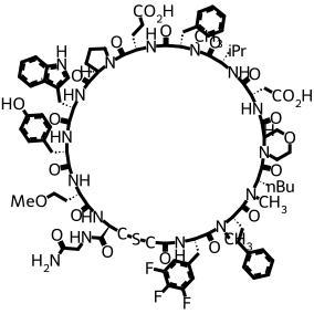 CCCC[C@H]1C(=O)N2CCOC[C@@H]2C(=O)N[C@@H](CC(=O)O)C(=O)N[C@@H](C(C)C)C(=O)N(C)[C@@H](Cc2ccccc2)C(=O)N[C@@H](CCC(=O)O)C(=O)N2CCC[C@@H]2C(=O)N[C@@H](Cc2c[nH]c3ccccc23)C(=O)N[C@@H](Cc2ccc(O)cc2)C(=O)N[C@@H](CCOC)C(=O)N[C@H](C(=O)NCC(N)=O)CSCC(=O)N[C@@H](Cc2cc(F)c(F)c(F)c2)C(=O)N(C)[C@@H](CCc2ccccc2)C(=O)N1C